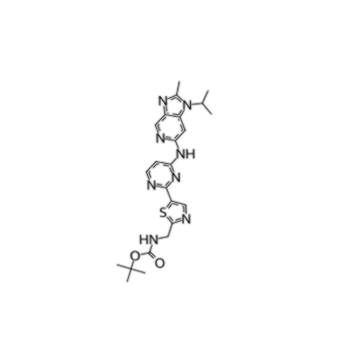 Cc1nc2cnc(Nc3ccnc(-c4cnc(CNC(=O)OC(C)(C)C)s4)n3)cc2n1C(C)C